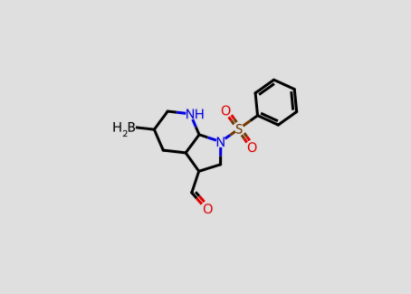 BC1CNC2C(C1)C(C=O)CN2S(=O)(=O)c1ccccc1